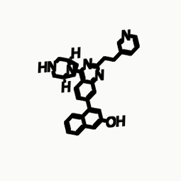 Oc1cc(-c2ccc3c(N4[C@@H]5CC[C@H]4CNC5)nc(CCc4cccnc4)nc3c2)c2ccccc2c1